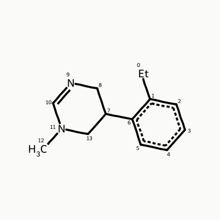 CCc1ccccc1C1CN=CN(C)C1